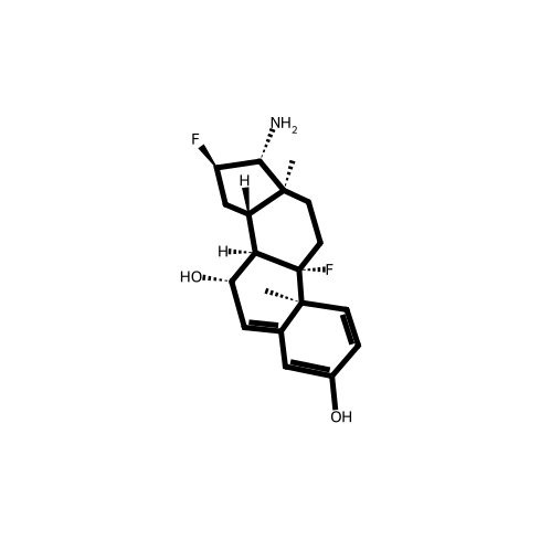 C[C@]12CC[C@]3(F)[C@@H]([C@@H](O)C=C4C=C(O)C=C[C@@]43C)[C@@H]1C[C@@H](F)[C@@H]2N